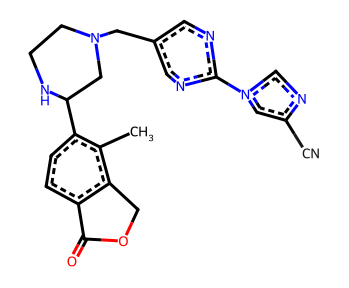 Cc1c(C2CN(Cc3cnc(-n4cnc(C#N)c4)nc3)CCN2)ccc2c1COC2=O